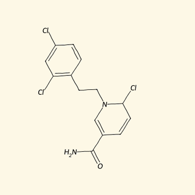 NC(=O)C1=CN(CCc2ccc(Cl)cc2Cl)C(Cl)C=C1